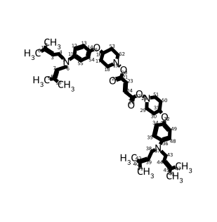 CC(C)=CCN(CC=C(C)C)c1ccc(OC2CCN(OC(=O)/C=C/C(=O)ON3CCC(Oc4ccc(N(CC=C(C)C)CC=C(C)C)cc4)CC3)CC2)cc1